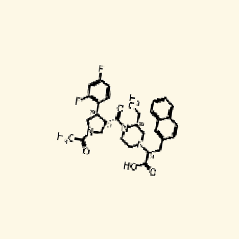 CC[C@H]1CN([C@@H](Cc2ccc3ccccc3c2)C(=O)O)CCN1C(=O)[C@@H]1CN(C(C)=O)C[C@H]1c1ccc(F)cc1F